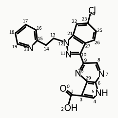 O=C(O)c1c[nH]c2ncc(-c3nn(CCc4ccccn4)c4cc(Cl)ccc34)nc12